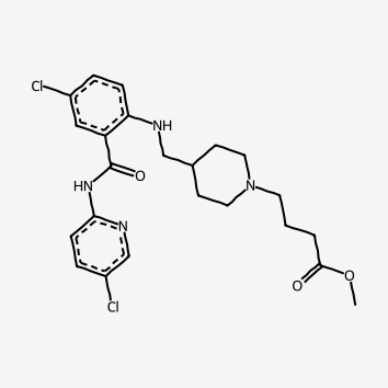 COC(=O)CCCN1CCC(CNc2ccc(Cl)cc2C(=O)Nc2ccc(Cl)cn2)CC1